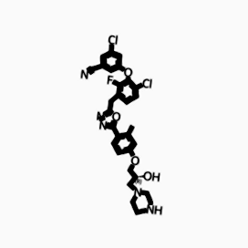 Cc1cc(OC[C@H](O)CN2CCNCC2)ccc1-c1nnc(Cc2ccc(Cl)c(Oc3cc(Cl)cc(C#N)c3)c2F)o1